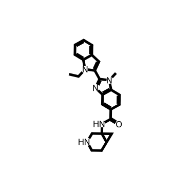 CCn1c(-c2nc3cc(C(=O)NC45CNCCC4C5)ccc3n2C)cc2ccccc21